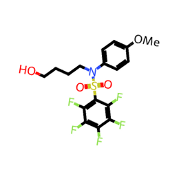 COc1ccc(N(CCCCO)S(=O)(=O)c2c(F)c(F)c(F)c(F)c2F)cc1